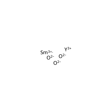 [O-2].[O-2].[O-2].[Sm+3].[Y+3]